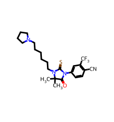 CC1(C)C(=O)N(c2ccc(C#N)c(C(F)(F)F)c2)C(=S)N1CCCCCCN1CCCC1